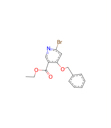 CCOC(=O)c1cnc(Br)cc1OCc1ccccc1